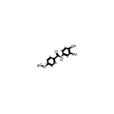 CC(=O)c1cc(NC(=O)c2ccc(OC(C)C)cc2)ccc1O